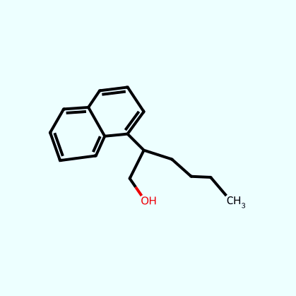 CCCCC(CO)c1cccc2ccccc12